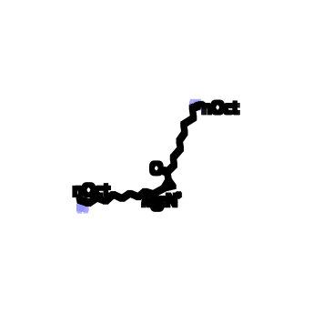 CCCCCCCC/C=C\CCCCCCCC(=O)C1CC1C(=O)CCCCCCC/C=C\CCCCCCCC.CNC